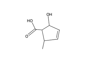 CC1C=CC(O)C1C(=O)O